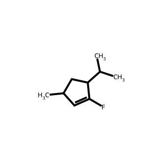 CC1C=C(F)C(C(C)C)C1